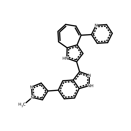 Cn1cc(-c2ccc3[nH]nc(-c4cc5c([nH]4)C=C=CC=C5c4ccccn4)c3c2)cn1